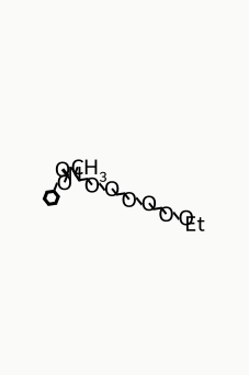 CCOCCOCCOCCOCCOCCOCCN(C)C(=O)OCc1ccccc1